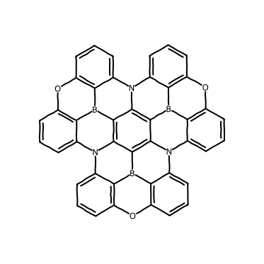 c1cc2c3c(c1)N1c4cccc5c4B4c6c(cccc6N6c7cccc8c7B7c9c(cccc9N9c%10cccc(c%10B3c3c1c4c6c7c39)O2)O8)O5